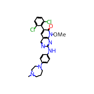 COn1c(=O)c(-c2c(Cl)cccc2Cl)cc2cnc(Nc3ccc(N4CCCN(C)CC4)cc3)nc21